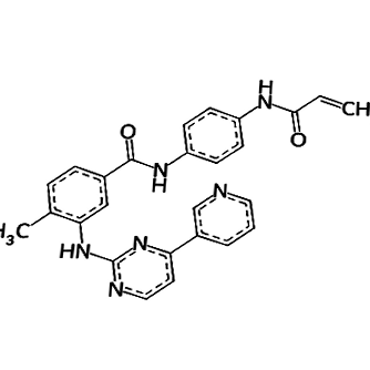 C=CC(=O)Nc1ccc(NC(=O)c2ccc(C)c(Nc3nccc(-c4cccnc4)n3)c2)cc1